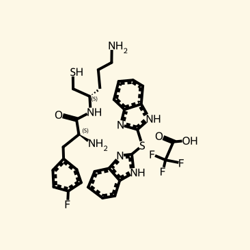 NCCC[C@@H](CS)NC(=O)[C@@H](N)Cc1ccc(F)cc1.O=C(O)C(F)(F)F.c1ccc2[nH]c(Sc3nc4ccccc4[nH]3)nc2c1